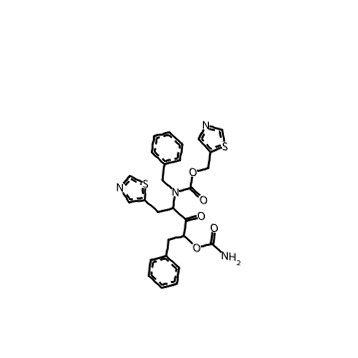 NC(=O)OC(Cc1ccccc1)C(=O)C(Cc1cncs1)N(Cc1ccccc1)C(=O)OCc1cncs1